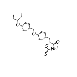 CCC(CC)Oc1ccc(COc2ccc(/C=C3\SC(=S)NC3=O)cc2)cc1